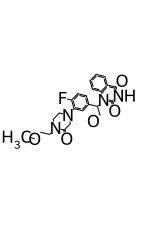 COCCN1CCN(c2cc(C(C=O)n3c(=O)[nH]c(=O)c4ccccc43)ccc2F)CC1=O